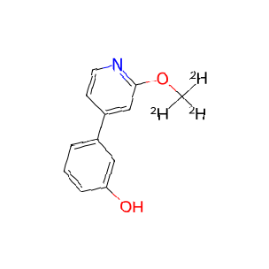 [2H]C([2H])([2H])Oc1cc(-c2cccc(O)c2)ccn1